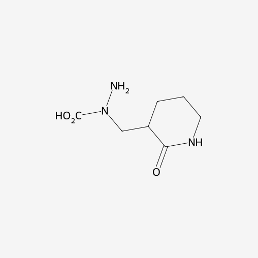 NN(CC1CCCNC1=O)C(=O)O